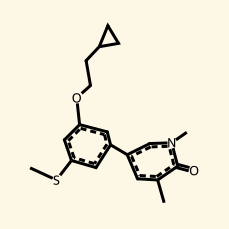 CSc1cc(OCCC2CC2)cc(-c2cc(C)c(=O)n(C)c2)c1